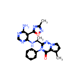 Cc1noc(-c2c(N)ncnc2N[C@@H](C)c2nn3ccc(C)c3c(=O)n2-c2ccccc2)n1